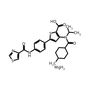 CC1CCC(C(=O)N(c2cc(-c3ccc(NC(=O)c4cscn4)cc3)sc2C(=O)O)C(C)C)CC1.[MgH2]